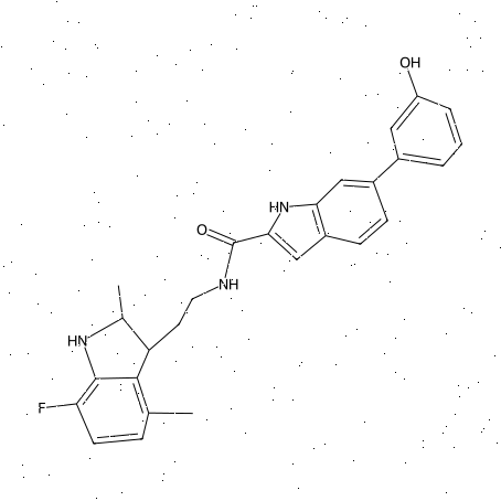 Cc1ccc(F)c2c1C(CCNC(=O)c1cc3ccc(-c4cccc(O)c4)cc3[nH]1)C(C)N2